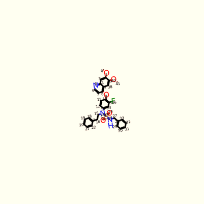 COc1cc2nccc(Oc3ccc(N(CCc4ccccc4)S(=O)(=O)NCc4ccccc4)cc3F)c2cc1OC